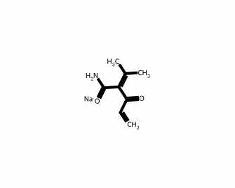 C=CC(=O)C(C(N)=O)=C(C)C.[Na]